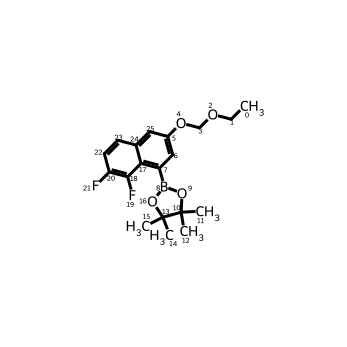 CCOCOc1cc(B2OC(C)(C)C(C)(C)O2)c2c(F)c(F)ccc2c1